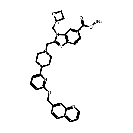 CC(C)(C)OC(=O)c1ccc2nc(CN3CCC(c4cccc(OCc5ccc6cccnc6c5)n4)CC3)n(C[C@@H]3CCO3)c2c1